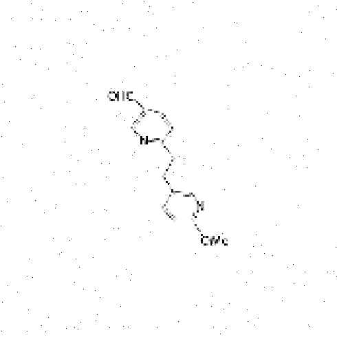 COc1ccc(CCc2ccc(C=O)cn2)cn1